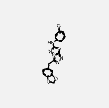 Clc1cccc(Nc2nn3c(Cc4ccc5c(c4)OCO5)nnc3s2)c1